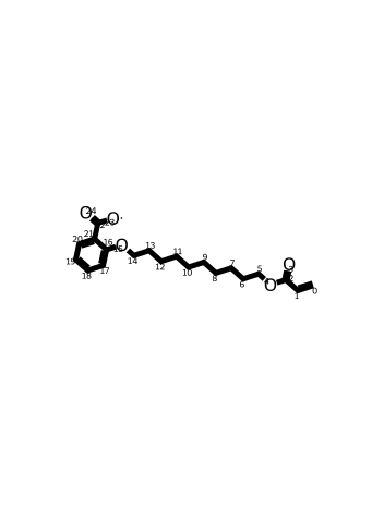 C=CC(=O)OCCCCCCCCCCOc1ccccc1C([O])=O